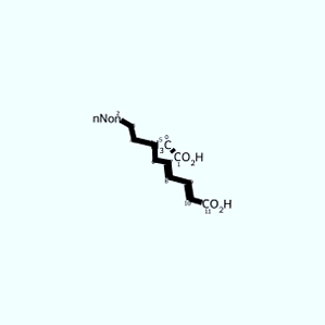 CC(=O)O.CCCCCCCCCCCCC/C=C/C=C/C(=O)O